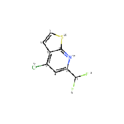 FC(F)c1cc(Cl)c2ccsc2n1